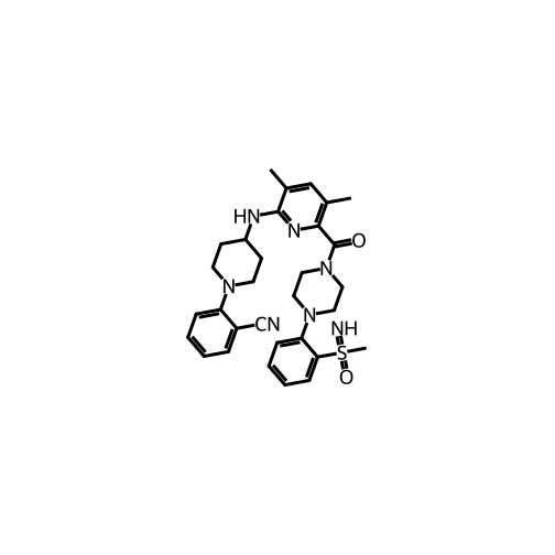 Cc1cc(C)c(C(=O)N2CCN(c3ccccc3S(C)(=N)=O)CC2)nc1NC1CCN(c2ccccc2C#N)CC1